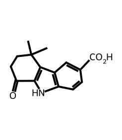 CC1(C)CCC(=O)c2[nH]c3ccc(C(=O)O)cc3c21